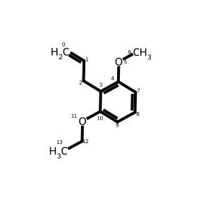 C=CCc1c(OC)cccc1OCC